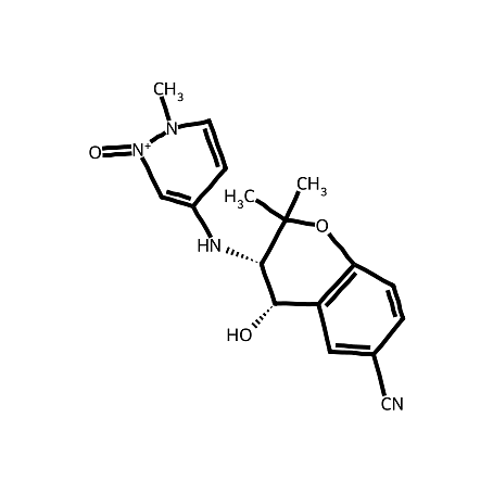 Cn1ccc(N[C@H]2[C@@H](O)c3cc(C#N)ccc3OC2(C)C)c[n+]1=O